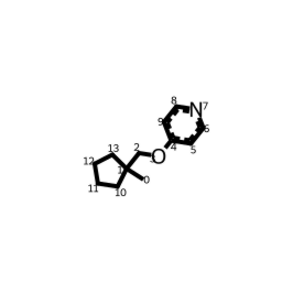 CC1(COc2ccncc2)CCCC1